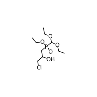 CCOC(OCC)P(=O)(CC(O)CCl)OCC